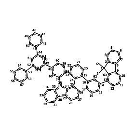 CC1(C)c2ccccc2-c2cccc(-c3cccc(-c4ccccc4-c4cccc5c6ccccc6n(-c6cccc(-c7nc(-c8ccccc8)cc(-c8ccccc8)n7)c6)c45)c3)c21